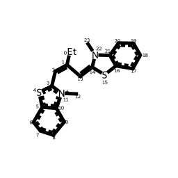 CCC(=Cc1sc2ccccc2[n+]1C)C=C1Sc2ccccc2N1C